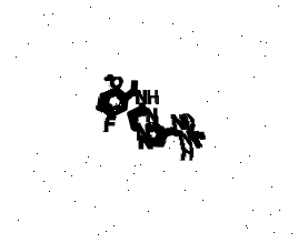 COc1ccc(F)cc1C(C)Nc1ccn2ncc(C3=NOC(C)(C)N3)c2n1